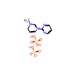 CN1C=[N+](c2ncccn2)C=CC1.O=S(=O)(O)O.O=S(=O)([O-])O